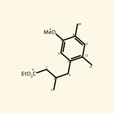 CCOC(=O)CC(C)Cc1cc(OC)c(C)cc1C